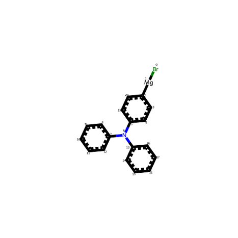 [Br][Mg][c]1ccc(N(c2ccccc2)c2ccccc2)cc1